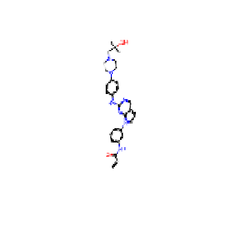 C=CC(=O)Nc1cccc(-n2ccc3cnc(Nc4ccc(N5CCN(CC(C)(C)O)CC5)cc4)nc32)c1